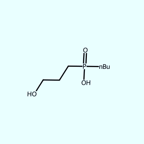 CCCCP(=O)(O)CCCO